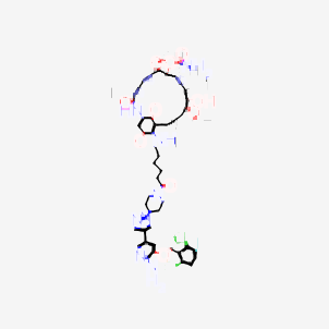 CO[C@H]1/C=C\C=C(/C)C(=O)NC2=CC(=O)C(NCCCCCC(=O)N3CCC(n4cc(-c5cnc(N)c(OC(C)c6c(Cl)ccc(F)c6Cl)c5)cn4)CC3)=C(C[C@@H](C)C[C@H](OC)[C@@H](O)[C@@H](C)/C=C(\C)[C@@H]1OC(N)=O)C2=O